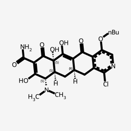 CCCCOc1cnc(Cl)c2c1C(=O)C1=C(O)[C@]3(O)C(=O)C(C(N)=O)=C(O)[C@@H](N(C)C)[C@@H]3C[C@@H]1C2